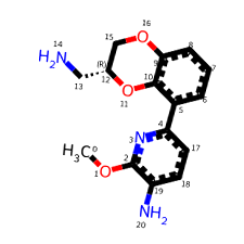 COc1nc(-c2cccc3c2O[C@H](CN)CO3)ccc1N